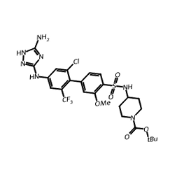 COc1cc(-c2c(Cl)cc(Nc3n[nH]c(N)n3)cc2C(F)(F)F)ccc1S(=O)(=O)NC1CCN(C(=O)OC(C)(C)C)CC1